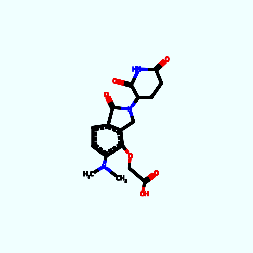 CN(C)c1ccc2c(c1OCC(=O)O)CN(C1CCC(=O)NC1=O)C2=O